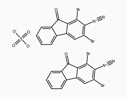 N#[N+]c1c(Br)cc2c(c1Br)C(=O)c1ccccc1-2.N#[N+]c1c(Br)cc2c(c1Br)C(=O)c1ccccc1-2.O=S(=O)([O-])[O-]